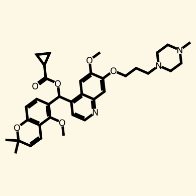 COc1cc2c(C(OC(=O)C3CC3)c3ccc4c(c3OC)C=CC(C)(C)O4)ccnc2cc1OCCCN1CCN(C)CC1